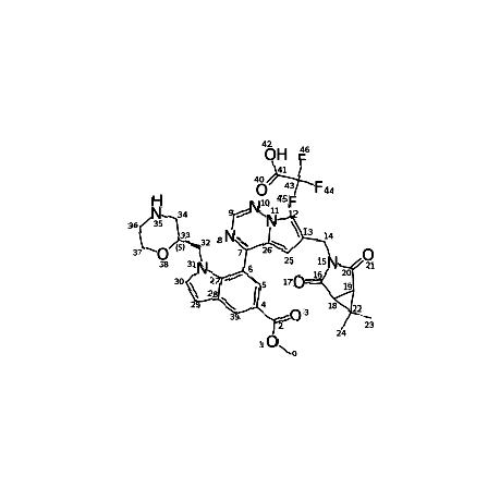 COC(=O)c1cc(-c2ncnn3cc(CN4C(=O)C5C(C4=O)C5(C)C)cc23)c2c(ccn2C[C@@H]2CNCCO2)c1.O=C(O)C(F)(F)F